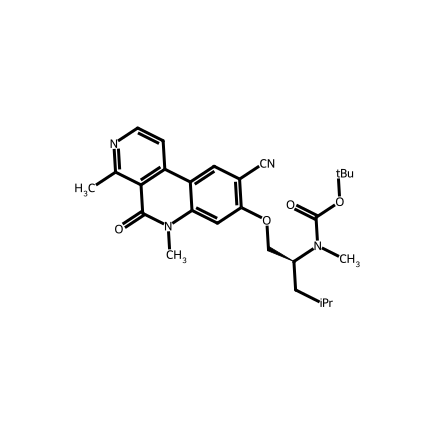 Cc1nccc2c1c(=O)n(C)c1cc(OC[C@H](CC(C)C)N(C)C(=O)OC(C)(C)C)c(C#N)cc21